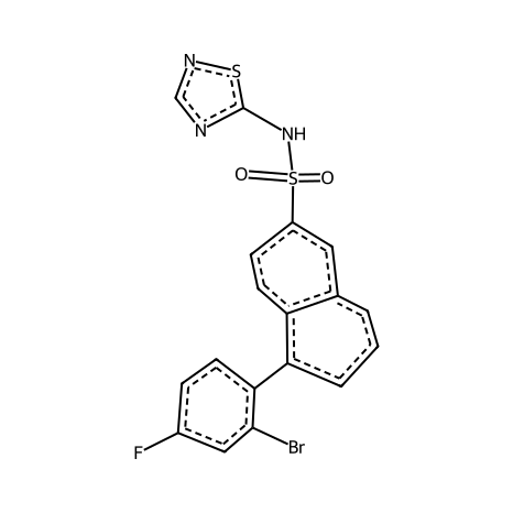 O=S(=O)(Nc1ncns1)c1ccc2c(-c3ccc(F)cc3Br)cccc2c1